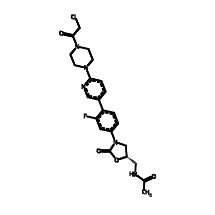 CC(=O)NC[C@H]1CN(c2ccc(-c3ccc(N4CCN(C(=O)CCl)CC4)nc3)c(F)c2)C(=O)O1